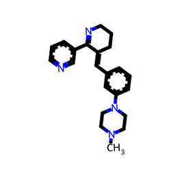 CN1CCN(c2cccc(C=C3CCCN=C3c3cccnc3)c2)CC1